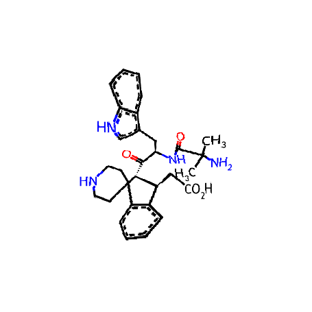 CC(C)(N)C(=O)N[C@H](Cc1c[nH]c2ccccc12)C(=O)[C@@H]1[C@@H](CC(=O)O)c2ccccc2C12CCNCC2